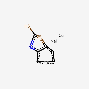 Sc1nc2ccccc2s1.[Cu].[NaH]